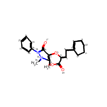 Cc1c(OC(CCC2=CCCCC2)C(=O)O)c(=O)n(-c2ccccc2)n1C